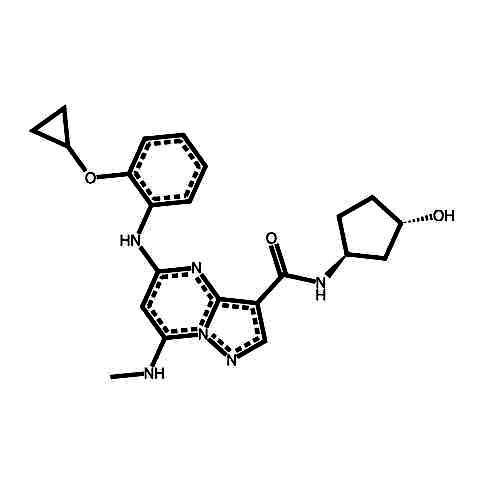 CNc1cc(Nc2ccccc2OC2CC2)nc2c(C(=O)N[C@H]3CC[C@H](O)C3)cnn12